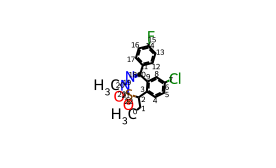 CCC1c2ccc(Cl)cc2C(c2ccc(F)cc2)=NN(C)S1(=O)=O